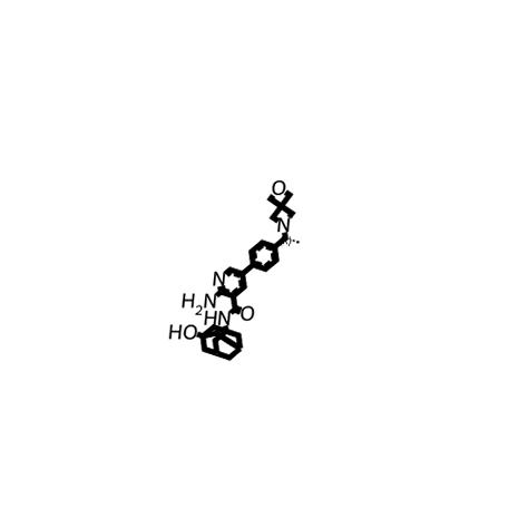 C[C@H](c1ccc(-c2cnc(N)c(C(=O)NC34CC5CC(CC(O)(C5)C3)C4)c2)cc1)N1CC2(COC2)C1